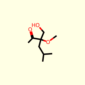 COC(CO)(CC(C)C)C(C)=O